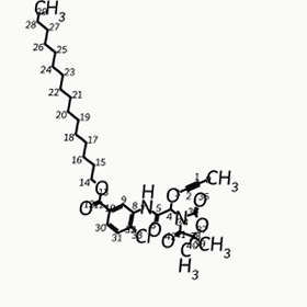 CC#COC(C(=O)Nc1cc(C(=O)OCCCCCCCCCCCCCCCC)ccc1Cl)N1C(=O)OC(C)(C)C1=O